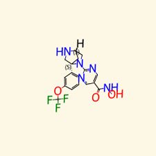 O=C(NO)c1cnc(N2C[C@@H]3C[C@]2(c2cccc(OC(F)(F)F)c2)CN3)nc1